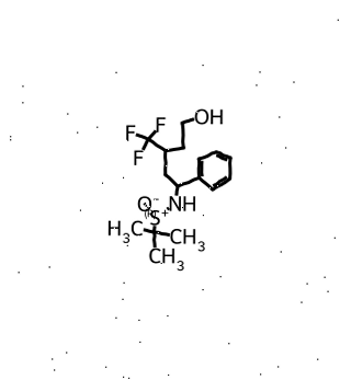 CC(C)(C)[S@+]([O-])NC(CC(CCO)C(F)(F)F)c1ccccc1